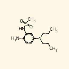 CCCN(CCC)c1ccc(N)c(NS(C)(=O)=O)c1